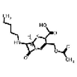 CCCCCNC1C(=O)N2C=C(COC(C)=O)C(C(=O)O)S[C@H]12